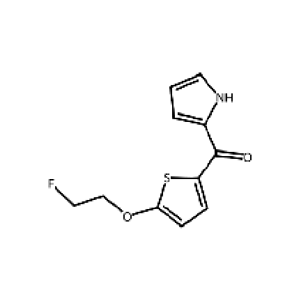 O=C(c1ccc[nH]1)c1ccc(OCCF)s1